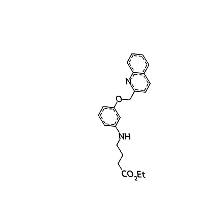 CCOC(=O)CCCNc1cccc(OCc2ccc3ccccc3n2)c1